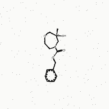 C[C@]1(O)COCCN(C(=O)OCc2ccccc2)C1